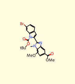 COC(=O)c1cc(OC)c2c(c1)nc(-c1cc3ccc(Br)cc3n1C(=O)OC(C)(C)C)n2C